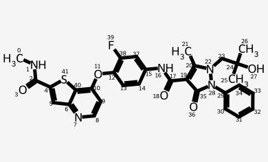 CNC(=O)c1cc2nccc(Oc3ccc(NC(=O)c4c(C)n(CC(C)(C)O)n(-c5ccccc5)c4=O)cc3F)c2s1